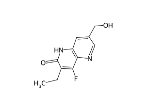 CCc1c(F)c2ncc(CO)cc2[nH]c1=O